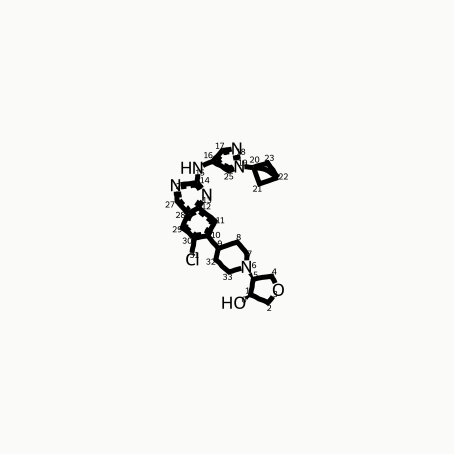 O[C@@H]1COC[C@@H]1N1CCC(c2cc3nc(Nc4cnn(C56CC(C5)C6)c4)ncc3cc2Cl)CC1